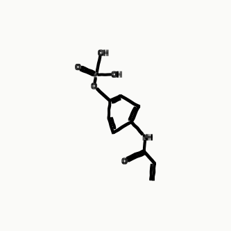 C=CC(=O)Nc1ccc(OP(=O)(O)O)cc1